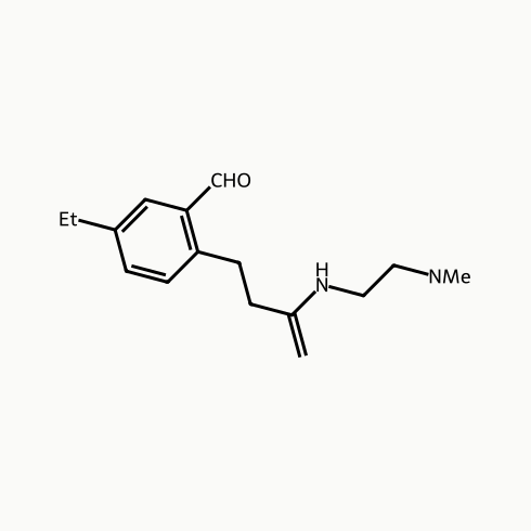 C=C(CCc1ccc(CC)cc1C=O)NCCNC